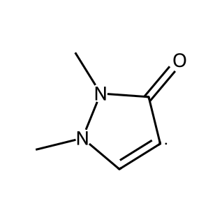 Cn1c[c]c(=O)n1C